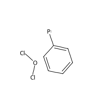 ClOCl.[P]c1ccccc1